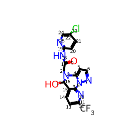 O=C(CN1c2ccnn2-c2nc(C(F)(F)F)ccc2C1O)Nc1ccc(Cl)cn1